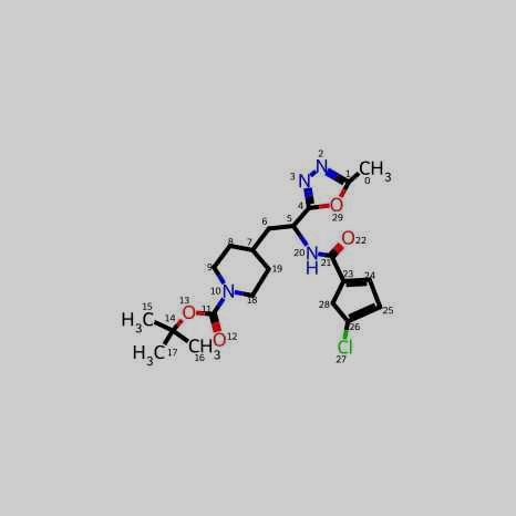 Cc1nnc(C(CC2CCN(C(=O)OC(C)(C)C)CC2)NC(=O)C2=CC=C(Cl)C2)o1